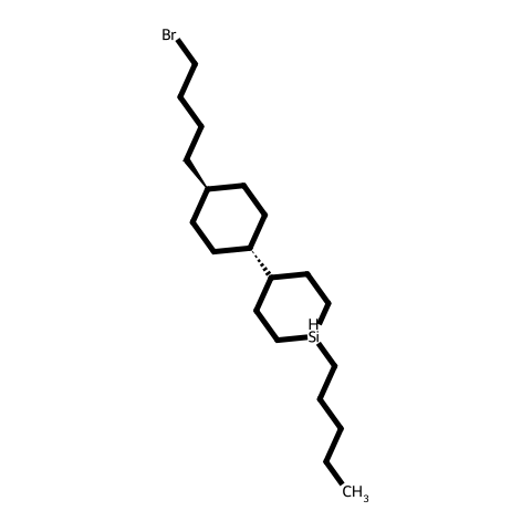 CCCCC[SiH]1CCC([C@H]2CC[C@H](CCCCBr)CC2)CC1